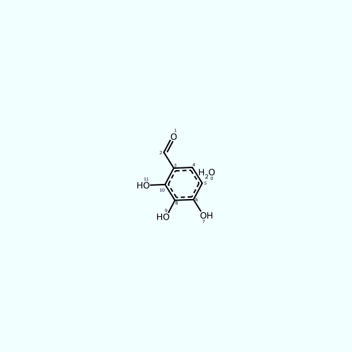 O.O=Cc1ccc(O)c(O)c1O